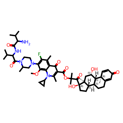 COc1c(N2CCN(C(=O)C(NC(=O)C(N)C(C)C)C(C)C)C(C)C2)c(F)c(C)c2c(=O)c(C(=O)OC(C)(C)C(=O)[C@@]3(O)CC[C@H]4[C@@H]5CCC6=CC(=O)C=C[C@]6(C)[C@H]5[C@@H](O)C[C@@]43C)c(C)n(C3CC3)c12